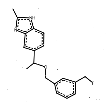 Cc1nc2cc(C(C)OCc3cccc(CF)c3)ccc2[nH]1